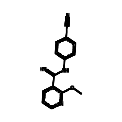 COc1ncccc1C(=N)Nc1ccc(C#N)cc1